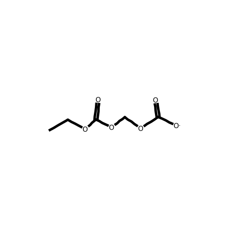 CCOC(=O)OCOC([O])=O